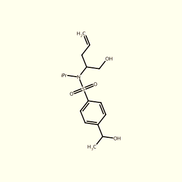 C=CCC(CO)N(C(C)C)S(=O)(=O)c1ccc(C(C)O)cc1